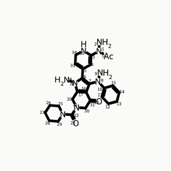 CC(=O)N(N)C1=CC(c2c(N(N)C3=CCCC=C3)c3c(n2N)CN(C(=O)N2CCCCC2)CC3=O)=CCN1